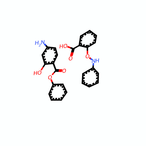 Nc1ccc(C(=O)Oc2ccccc2)c(O)c1.O=C(O)c1ccccc1ONc1ccccc1